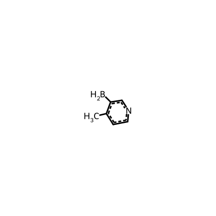 Bc1cnccc1C